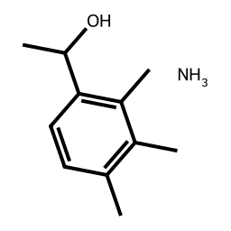 Cc1ccc(C(C)O)c(C)c1C.N